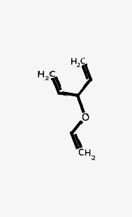 C=COC(C=C)C=C